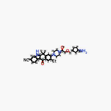 CCc1cc2c(cc1N1CCN(C(=O)COC[C@@H]3CC[C@@H](N)C3)CC1)C(C)(C)c1[nH]c3cc(C#N)ccc3c1C2=O